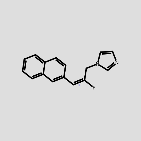 F/C(=C/c1ccc2ccccc2c1)Cn1ccnc1